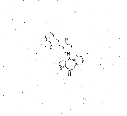 Cc1cc2c(s1)NC=c1cccnc1=C2N1CCNC(CCc2ccccc2Cl)C1